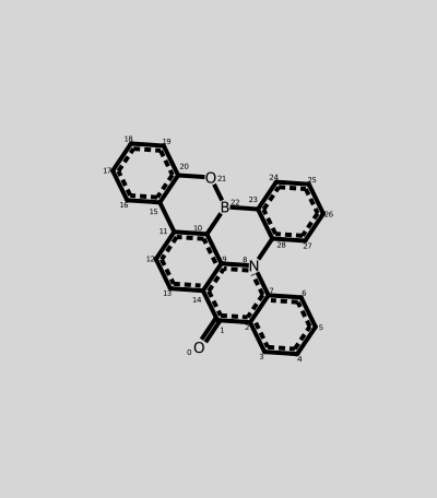 O=c1c2ccccc2n2c3c4c(ccc13)-c1ccccc1OB4c1ccccc1-2